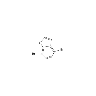 Brc1ncc(Br)c2occc12